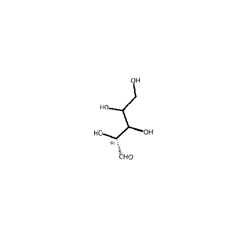 O=C[C@H](O)C(O)C(O)CO